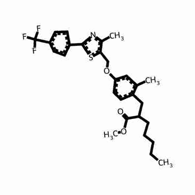 CCCCCC(Cc1ccc(OCc2sc(-c3ccc(C(F)(F)F)cc3)nc2C)cc1C)C(=O)OC